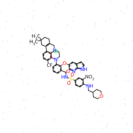 CC1(C)CCC(CN2CCN(c3cccc(C(=O)NS(=O)(=O)c4ccc(NCC5CCOCC5)c([N+](=O)[O-])c4)c3Oc3cnc4[nH]ccc4c3)CC2)=C(c2ccc(C(F)(F)F)cc2Cl)C1